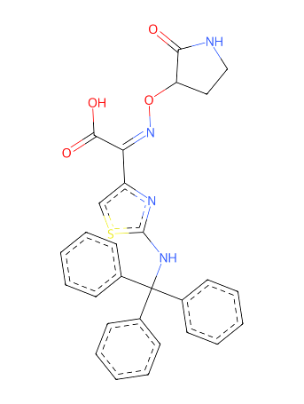 O=C(O)/C(=N\OC1CCNC1=O)c1csc(NC(c2ccccc2)(c2ccccc2)c2ccccc2)n1